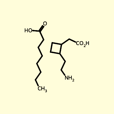 CCCCCCCC(=O)O.NCCC1CCC1CC(=O)O